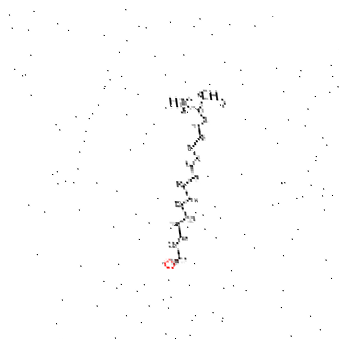 CC(C)CCCCCCCCCCCCCCC[O]